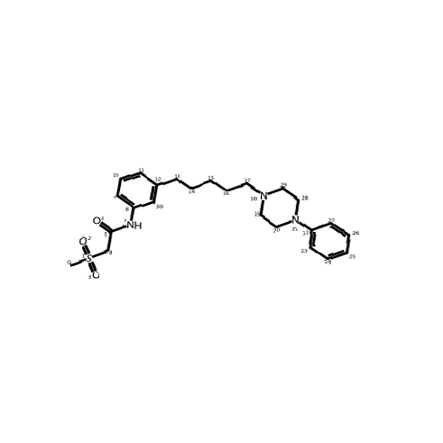 CS(=O)(=O)CC(=O)Nc1cccc(CCCCCN2CCN(c3ccccc3)CC2)c1